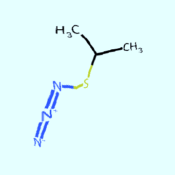 CC(C)SN=[N+]=[N-]